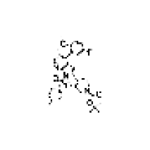 COc1ccc(F)cc1-c1c(C)cnc2c1cc(C1=CCN(C(=O)OC(C)(C)C)CC1)n2S(=O)(=O)c1ccc(C)cc1